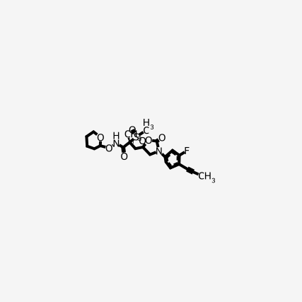 CC#Cc1ccc(N2CC(C[C@](C)(C(=O)NOC3CCCCO3)S(C)(=O)=O)OC2=O)cc1F